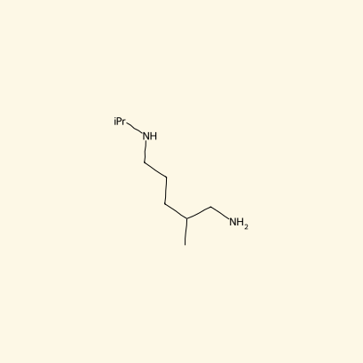 CC(CN)CCCNC(C)C